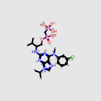 CC(C)C(COP(=O)(O)CP(=O)(O)O)Nc1nc(N(C)c2cccc(Cl)c2)c2ncn(C(C)C)c2n1